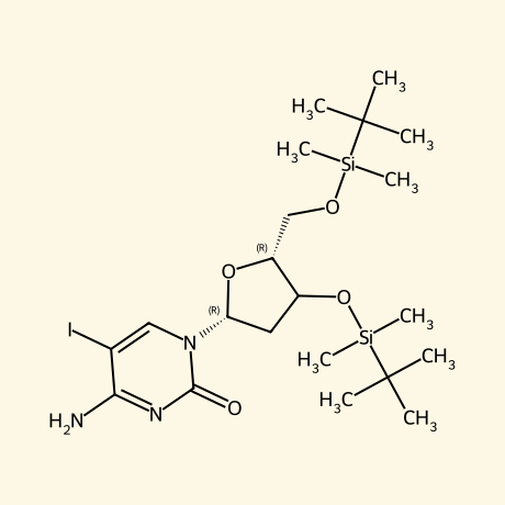 CC(C)(C)[Si](C)(C)OC[C@H]1O[C@@H](n2cc(I)c(N)nc2=O)CC1O[Si](C)(C)C(C)(C)C